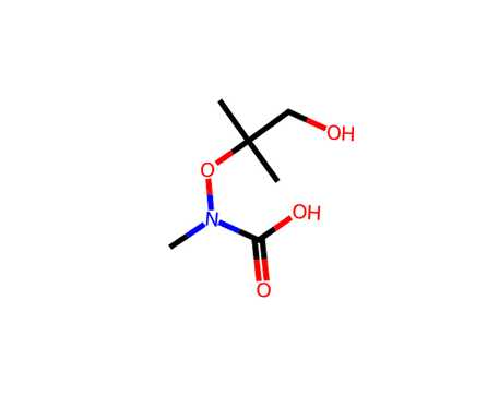 CN(OC(C)(C)CO)C(=O)O